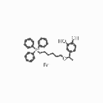 CC(OCCCCCC[P+](c1ccccc1)(c1ccccc1)c1ccccc1)c1ccc(O)c(O)c1.[Br-]